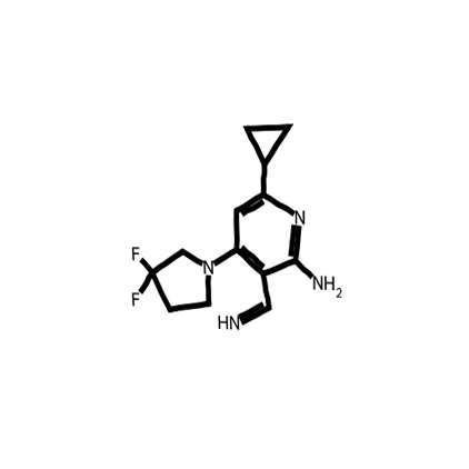 N=Cc1c(N2CCC(F)(F)C2)cc(C2CC2)nc1N